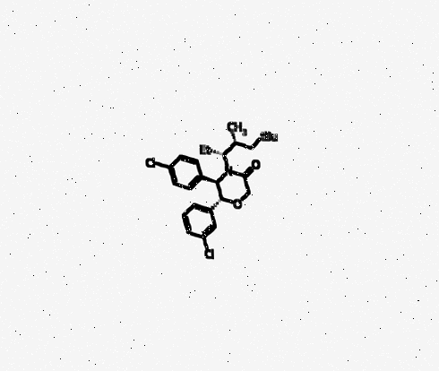 CC[C@H]([C@H](C)CC(C)(C)C)N1C(=O)CO[C@H](c2cccc(Cl)c2)[C@H]1c1ccc(Cl)cc1